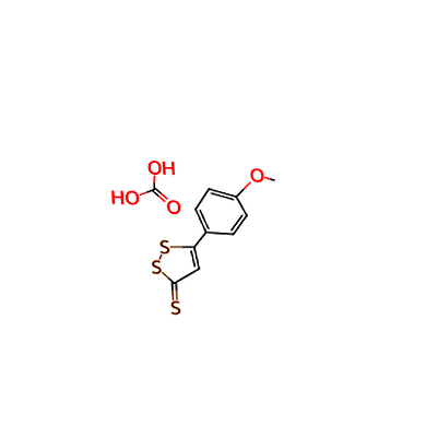 COc1ccc(-c2cc(=S)ss2)cc1.O=C(O)O